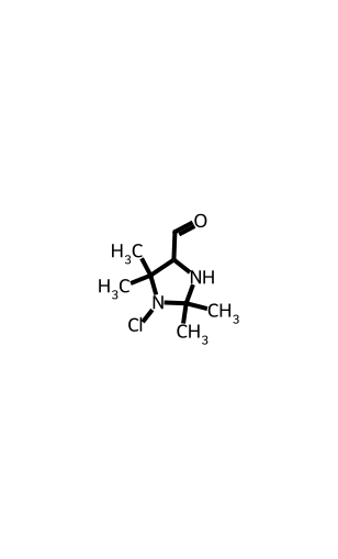 CC1(C)NC(C=O)C(C)(C)N1Cl